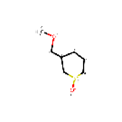 COCC1CCC[S+]([O-])C1